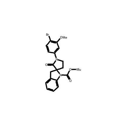 COc1cc(N2CCC3(Cc4ccccc4N3C(=O)OC(C)(C)C)C2=O)ccc1Br